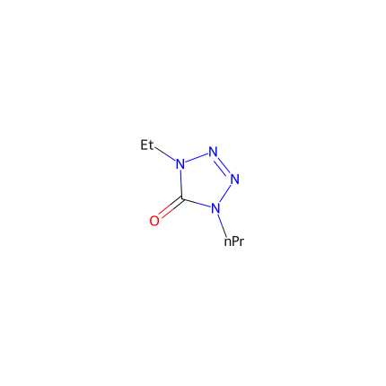 CCCn1nnn(CC)c1=O